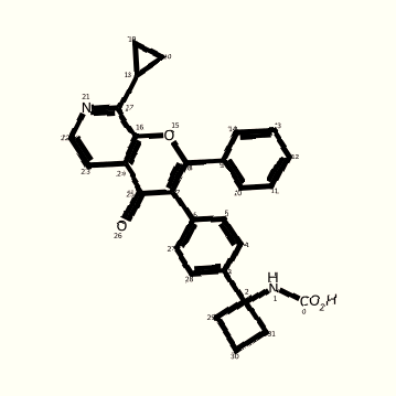 O=C(O)NC1(c2ccc(-c3c(-c4ccccc4)oc4c(C5CC5)nccc4c3=O)cc2)CCC1